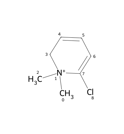 C[N+]1(C)CC=CC=C1Cl